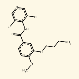 COc1ccc(C(=O)Nc2c(Cl)cncc2Cl)cc1OCCCN